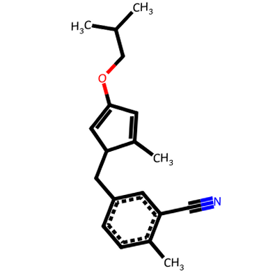 CC1=CC(OCC(C)C)=CC1Cc1ccc(C)c(C#N)c1